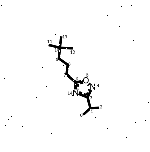 CC(C)c1noc(CCCC(C)(C)C)n1